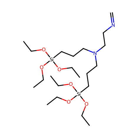 C=NCCN(CCC[Si](OCC)(OCC)OCC)CCC[Si](OCC)(OCC)OCC